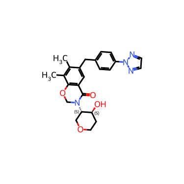 Cc1c(Cc2ccc(-n3nccn3)cc2)cc2c(c1C)OCN([C@H]1COCC[C@@H]1O)C2=O